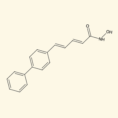 O=C(/C=C/C=C/c1ccc(-c2ccccc2)cc1)NO